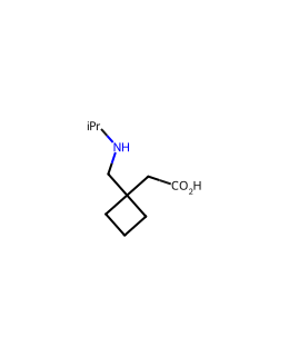 CC(C)NCC1(CC(=O)O)CCC1